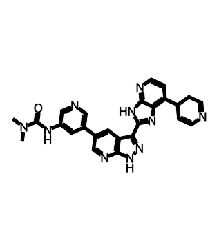 CN(C)C(=O)Nc1cncc(-c2cnc3[nH]nc(-c4nc5c(C6C=CN=CC6)ccnc5[nH]4)c3c2)c1